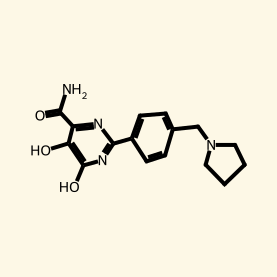 NC(=O)c1nc(-c2ccc(CN3CCCC3)cc2)nc(O)c1O